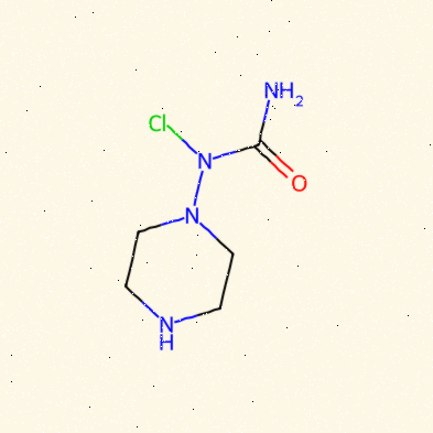 NC(=O)N(Cl)N1CCNCC1